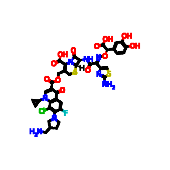 NCC1CCN(c2c(F)cc3c(=O)c(C(=O)OCC4=C(C(=O)O)N5C(=O)[C@@H](NC(=O)C(=NO[C@H](C(=O)O)c6ccc(O)c(O)c6)c6csc(N)n6)[C@H]5SC4)cn(C4CC4)c3c2Cl)C1